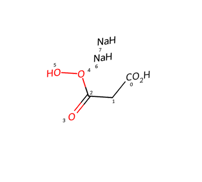 O=C(O)CC(=O)OO.[NaH].[NaH]